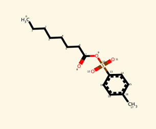 CCCCCCCC(=O)OS(=O)(=O)c1ccc(C)cc1